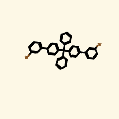 Brc1cccc(-c2ccc(C(c3ccccc3)(c3ccccc3)c3ccc(-c4cccc(Br)c4)cc3)cc2)c1